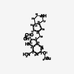 CCCCOc1nc(N)c2[nH]cc(Cc3ccc4c(c3)CNCC4)c2n1.O=CO